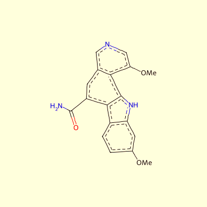 COc1ccc2c(c1)[nH]c1c3c(OC)cncc3cc(C(N)=O)c21